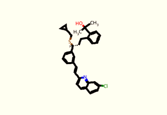 CC(C)(O)c1ccccc1CC[C@@H](SCC1[CH]C1)c1cccc(C=Cc2ccc3ccc(Cl)cc3n2)c1